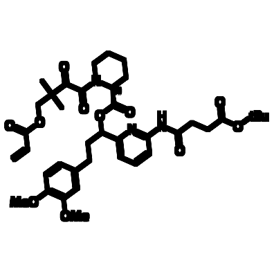 C=CC(=O)OCC(C)(C)C(=O)C(=O)N1CCCC[C@H]1C(=O)OC(CCc1ccc(OC)c(OC)c1)c1cccc(NC(=O)CCC(=O)OC(C)(C)C)n1